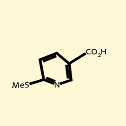 CSc1ccc(C(=O)O)cn1